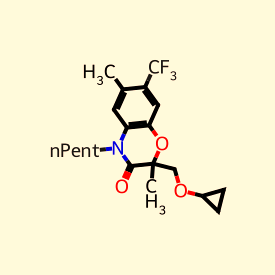 CCCCCN1C(=O)C(C)(COC2CC2)Oc2cc(C(F)(F)F)c(C)cc21